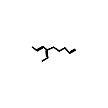 C=CCCCC(C=CC)=CC